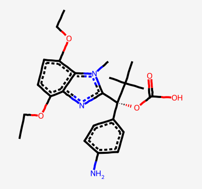 CCOc1ccc(OCC)c2c1nc([C@](OC(=O)O)(c1ccc(N)cc1)C(C)(C)C)n2C